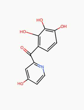 O=C(c1cc(O)ccn1)c1ccc(O)c(O)c1O